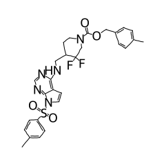 Cc1ccc(COC(=O)N2CCC(CNc3ncnc4c3ccn4S(=O)(=O)c3ccc(C)cc3)C(F)(F)C2)cc1